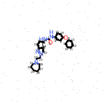 O=C(Nc1ccc(Oc2ccccc2)cc1)Nc1ccc2nn(CCN3CCCCCC3)cc2c1